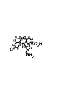 NC[C@@H]1CC[C@H]1CN1CC2(CCCc3cc(Cl)ccc32)COc2ccc(C(=O)O)cc21